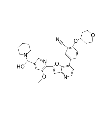 COc1cc(C(O)N2CCCCC2)cnc1-c1cc2nccc(-c3ccc(OC4CCOCC4)c(C#N)c3)c2o1